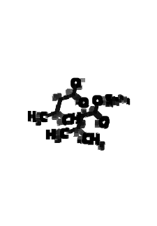 CC(C)CC(=O)[O-].CC(C)CC(=O)[O-].[Sn+2]